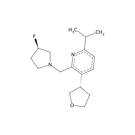 CC(C)c1ccc([C@@H]2CCOC2)c(CN2CC[C@@H](F)C2)n1